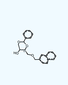 OC1COC(c2ccccc2)O[C@H]1COCc1ccc2ccccc2c1